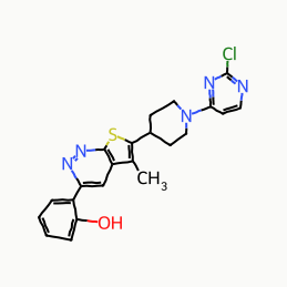 Cc1c(C2CCN(c3ccnc(Cl)n3)CC2)sc2nnc(-c3ccccc3O)cc12